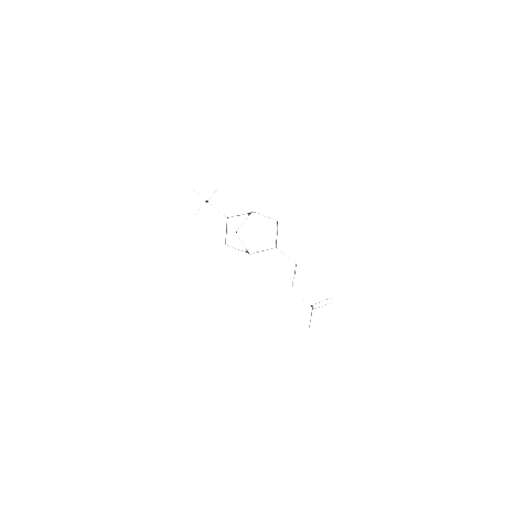 CC(C)(C)C(=O)OCC1CC2CC1CC2C(O)(C(F)(F)F)C(F)(F)F